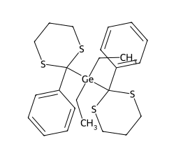 C[CH2][Ge]([CH2]C)([C]1(c2ccccc2)SCCCS1)[C]1(c2ccccc2)SCCCS1